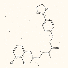 CN(CCN(C)C(=O)CCc1ccc(C2=NCCN2)cc1)Sc1cccc(Cl)c1Cl